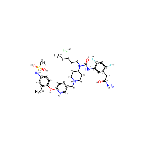 CCCCCN(C(=O)Nc1cc(CC(N)=O)c(F)cc1F)C1CCN(Cc2ccc(Oc3ccc(NS(C)(=O)=O)cc3C)nc2)CC1.Cl